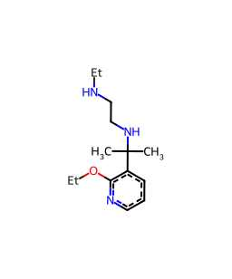 CCNCCNC(C)(C)c1cccnc1OCC